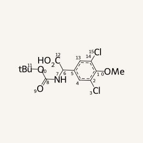 COc1c(Cl)cc(C(NC(=O)OC(C)(C)C)C(=O)O)cc1Cl